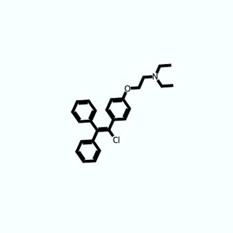 CCN(CC)CCOc1ccc(C(Cl)=C(c2ccccc2)c2ccccc2)cc1